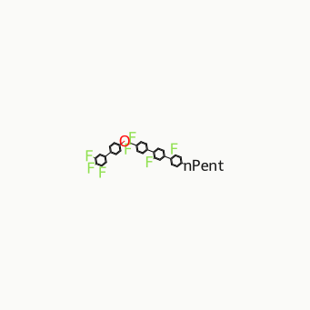 CCCCCc1ccc(-c2ccc(-c3ccc(C(F)(F)Oc4ccc(-c5cc(F)c(F)c(F)c5)cc4)cc3)c(F)c2)c(F)c1